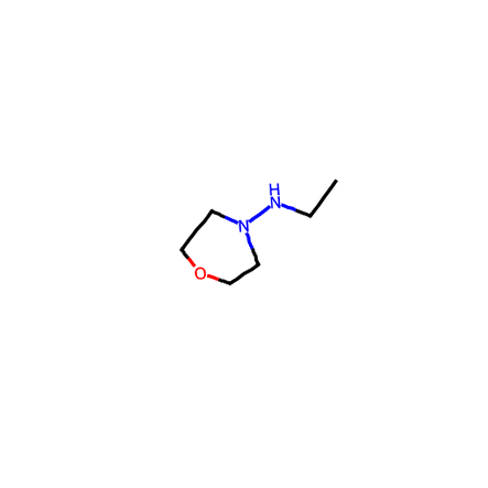 CCNN1CCOCC1